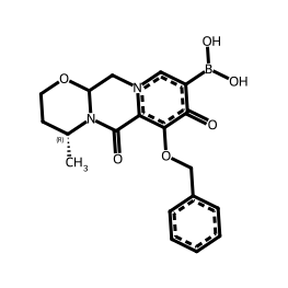 C[C@@H]1CCOC2Cn3cc(B(O)O)c(=O)c(OCc4ccccc4)c3C(=O)N21